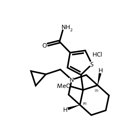 COC1(c2cc(C(N)=O)cs2)[C@@H]2CCC[C@H]1CN(CC1CC1)C2.Cl